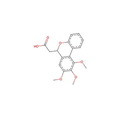 COc1cc2c(c(OC)c1OC)-c1ccccc1OC2CC(=O)O